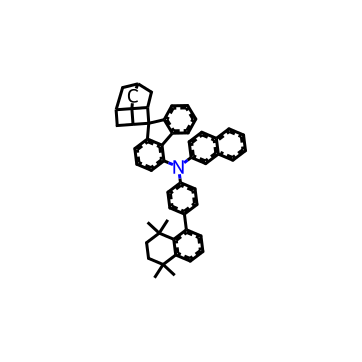 CC1(C)CCC(C)(C)c2c(-c3ccc(N(c4ccc5ccccc5c4)c4cccc5c4-c4ccccc4C54C5CC6CC7CC4C75C6)cc3)cccc21